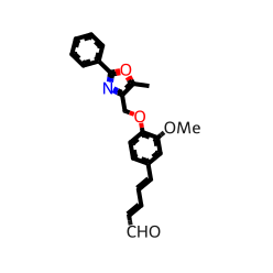 COc1cc(C=CC=CC=O)ccc1OCc1nc(-c2ccccc2)oc1C